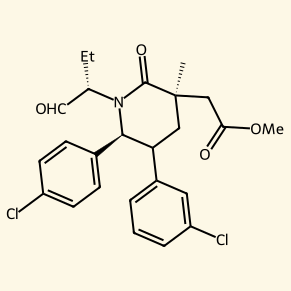 CC[C@@H](C=O)N1C(=O)[C@@](C)(CC(=O)OC)CC(c2cccc(Cl)c2)[C@H]1c1ccc(Cl)cc1